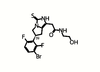 O=C(Cc1[nH]c(=S)n2c1C[C@@H](c1c(F)ccc(Br)c1F)C2)NCCO